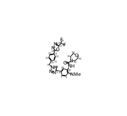 CNc1ccc(-c2nnn(Cc3ccc(-c4nnc(C(F)F)o4)cc3)n2)cc1NC(=O)N1CCOCC1